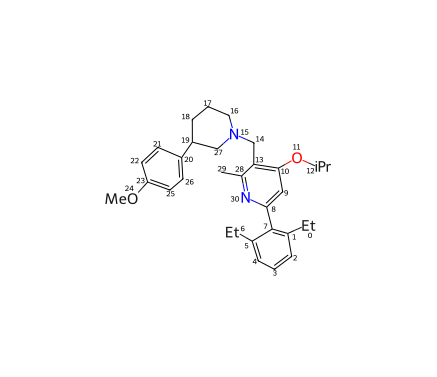 CCc1cccc(CC)c1-c1cc(OC(C)C)c(CN2CCCC(c3ccc(OC)cc3)C2)c(C)n1